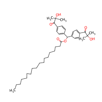 CCCCCCCCCCCCCCCCCC(=O)OC(c1ccc(C(=O)C(C)(C)O)cc1)c1ccc(C(=O)C(C)(C)O)cc1